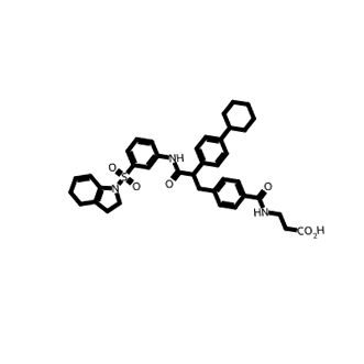 O=C(O)CCNC(=O)c1ccc(CC(C(=O)Nc2cccc(S(=O)(=O)N3CCC4=C3C=CCC4)c2)c2ccc(C3CCCCC3)cc2)cc1